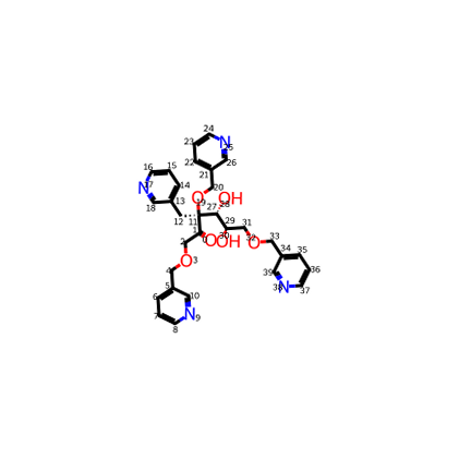 O=C(COCc1cccnc1)[C@@](Cc1cccnc1)(OCc1cccnc1)[C@H](O)[C@H](O)COCc1cccnc1